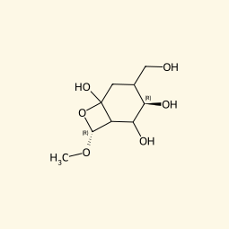 CO[C@@H]1OC2(O)CC(CO)[C@@H](O)C(O)C12